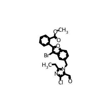 CCc1nc(Cl)c(C=O)n1Cc1ccc2oc(-c3ccccc3C(=O)OC)c(Br)c2c1